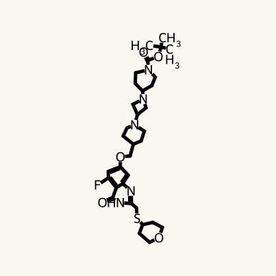 CC(C)(C)OC(=O)N1CCC(N2CC(N3CCC(COc4cc(F)c5c(=O)[nH]c(CSC6CCOCC6)nc5c4)CC3)C2)CC1